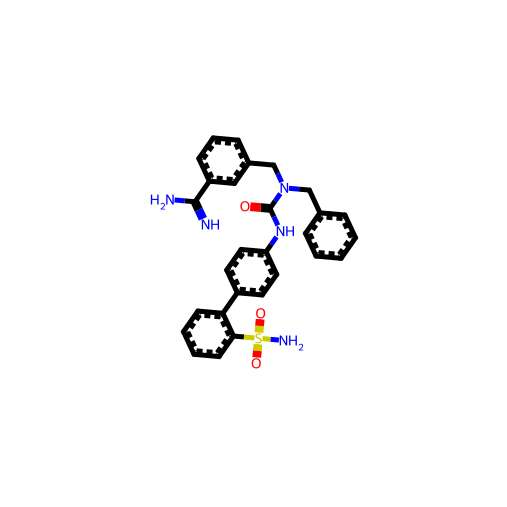 N=C(N)c1cccc(CN(Cc2ccccc2)C(=O)Nc2ccc(-c3ccccc3S(N)(=O)=O)cc2)c1